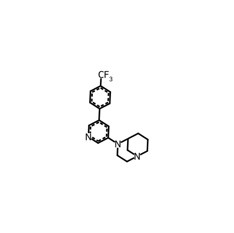 FC(F)(F)c1ccc(-c2cncc(N3CCN4CCCC3C4)c2)cc1